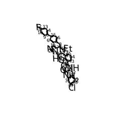 CCN(C(Cc1ccc(-c2ccc(F)cc2)cc1)c1cnc[nH]1)C1CCOc2c(C(=O)N[C@@H](Cc3ccc(Cl)cc3)C(N)=O)cccc21